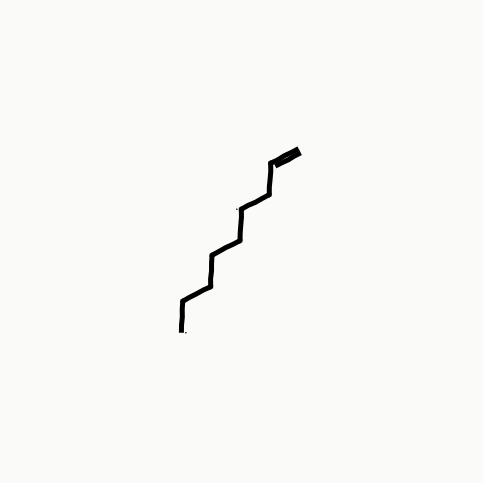 [CH2]CCCC[CH]CC=C